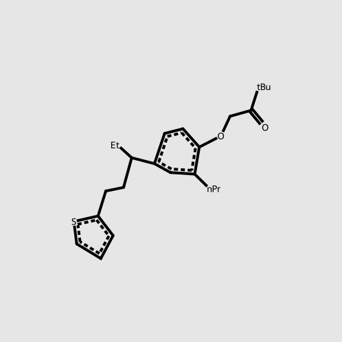 CCCc1cc(C(CC)CCc2cccs2)ccc1OCC(=O)C(C)(C)C